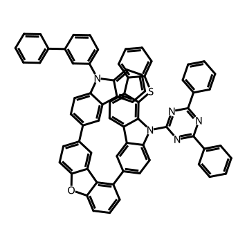 c1ccc(-c2cccc(-n3c4ccccc4c4cc(-c5ccc6oc7cccc(-c8ccc9c(c8)c8ccc%10c%11ccccc%11sc%10c8n9-c8nc(-c9ccccc9)nc(-c9ccccc9)n8)c7c6c5)ccc43)c2)cc1